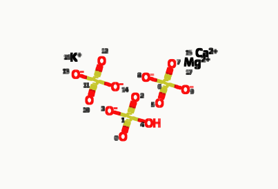 O=S(=O)([O-])O.O=S(=O)([O-])[O-].O=S(=O)([O-])[O-].[Ca+2].[K+].[Mg+2]